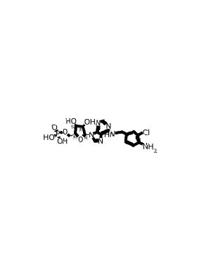 Nc1ccc(CNc2ncnc3c2ncn3[C@@H]2O[C@H](COP(=O)(O)O)[C@@H](O)[C@H]2O)cc1Cl